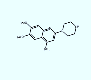 COc1cc2nc(N3CCNCC3)cc(N)c2cc1OC